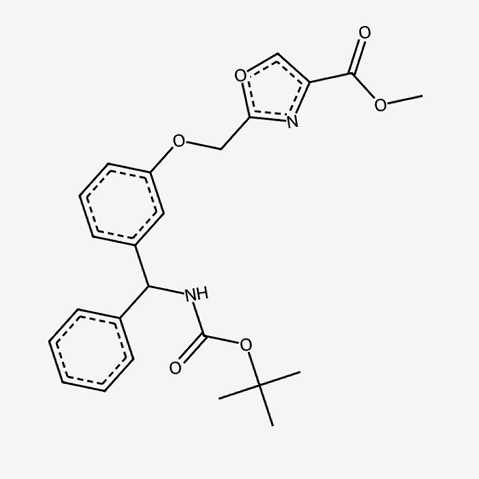 COC(=O)c1coc(COc2cccc(C(NC(=O)OC(C)(C)C)c3ccccc3)c2)n1